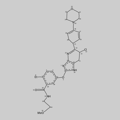 CCc1ccc(Oc2nc3c([nH]2)CC(Cl)C(C2C=CC(N4CCOCC4)=CC2)=N3)cc1C(=O)NCCOC